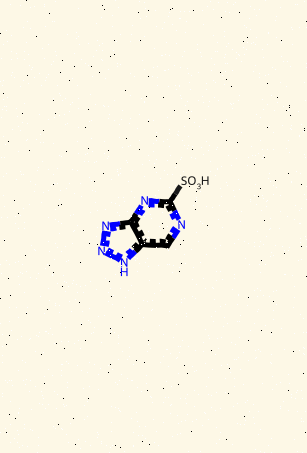 O=S(=O)(O)c1ncc2[nH]nnc2n1